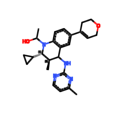 Cc1ccnc(NC2c3cc(C4=CCOCC4)ccc3N(C(C)O)[C@@H](C3CC3)[C@@H]2C)n1